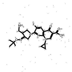 CC(C)(C)ON=C1CN(c2nc3c(cc2F)c(=O)c(C(=O)O)cn3C2CC2)CC1CN